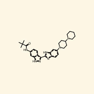 CC(C)(C)C(=O)Nc1ccc2c(-c3nc4ccc(N5CCC(N6CCCCC6)CC5)cc4[nH]3)n[nH]c2c1